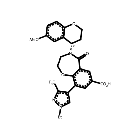 CCn1cc(-c2cc(C(=O)O)cc3c2OCCN([C@H]2CCOc4ccc(OC)cc42)C3=O)c(C(F)(F)F)n1